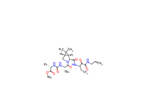 C=CCNC(=O)C(=O)C(CC(F)(F)F)NC(=O)[C@@H]1[C@@H]2[C@H](CN1C(=O)[C@@H](NC(=O)N[C@H](C(=O)OC(C)(C)C)C(C)C)C(C)(C)C)C2(C)C